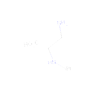 CC(C)N[C@@H](CN)C(=O)O